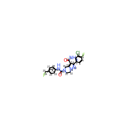 NC(=O)c1c(-c2ccc(F)c(Cl)c2)nn2c1CN(C(=O)NC13CCC(CF)(CC1)CC3)CC2